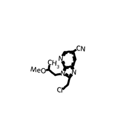 COC(C)Cn1c(CCl)nc2cc(C#N)cnc21